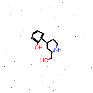 OCC1CC(c2ccccc2O)CCN1